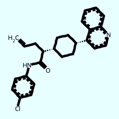 C=CCC(C(=O)Nc1ccc(Cl)cc1)[C@H]1CC[C@@H](c2ccnc3ccccc32)CC1